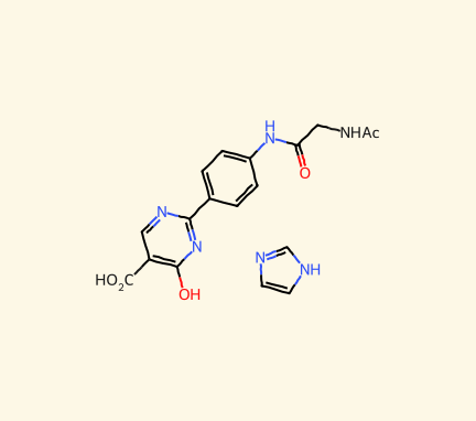 CC(=O)NCC(=O)Nc1ccc(-c2ncc(C(=O)O)c(O)n2)cc1.c1c[nH]cn1